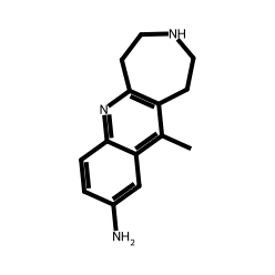 Cc1c2c(nc3ccc(N)cc13)CCNCC2